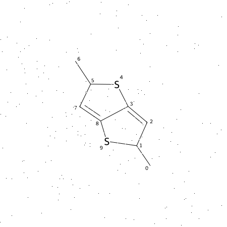 CC1C=C2SC(C)C=C2S1